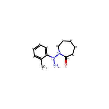 NN(c1ccccc1[N+](=O)[O-])N1CCCCCC1=O